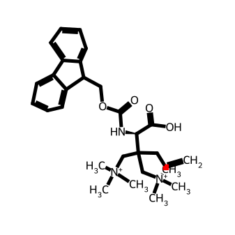 C=CCC(C[N+](C)(C)C)(C[N+](C)(C)C)[C@@H](NC(=O)OCC1c2ccccc2-c2ccccc21)C(=O)O